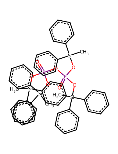 C[Si](OP(=O)(O[Si](C)(c1ccccc1)c1ccccc1)OP(=O)(O[Si](C)(c1ccccc1)c1ccccc1)O[Si](C)(c1ccccc1)c1ccccc1)(c1ccccc1)c1ccccc1